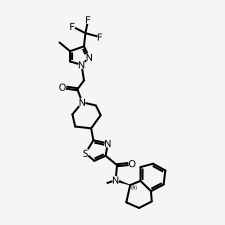 Cc1cn(CC(=O)N2CCC(c3nc(C(=O)N(C)[C@@H]4CCCc5ccccc54)cs3)CC2)nc1C(F)(F)F